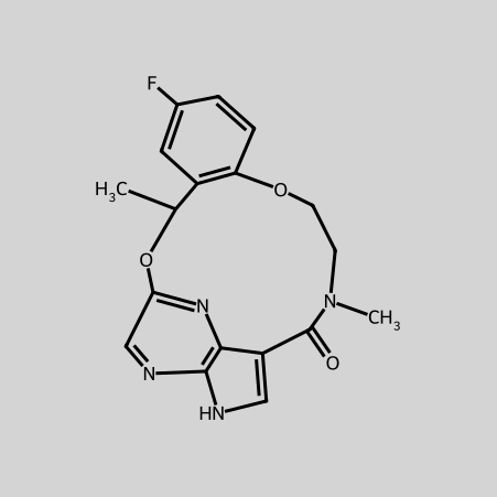 CC1Oc2cnc3[nH]cc(c3n2)C(=O)N(C)CCOc2ccc(F)cc21